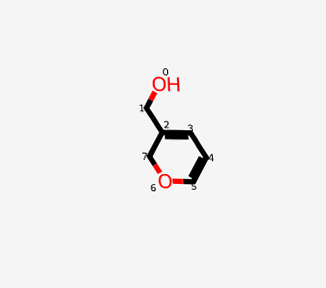 OCC1=CC=COC1